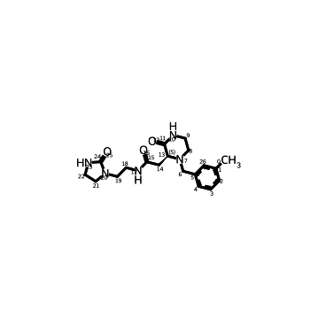 Cc1cccc(CN2CCNC(=O)[C@@H]2CC(=O)NCCN2CCNC2=O)c1